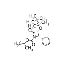 CC(C)OC(=O)N1C(=O)[C@H](O[Si](C)(C)C(C)(C)C)[C@@H]1c1ccccc1